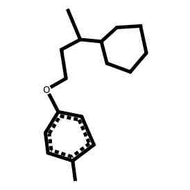 Cc1ccc(OCCC(C)C2CCCCC2)cc1